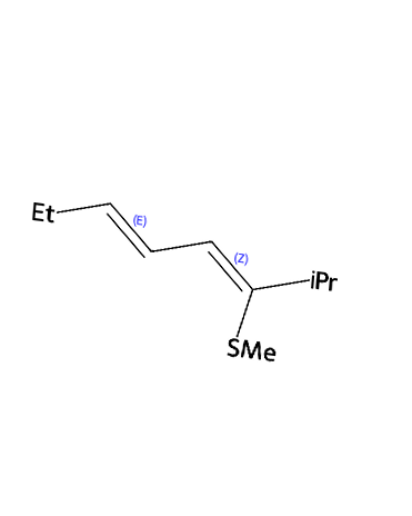 CC/C=C/C=C(\SC)C(C)C